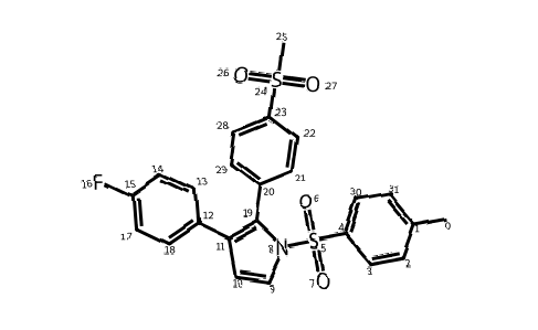 Cc1ccc(S(=O)(=O)n2ccc(-c3ccc(F)cc3)c2-c2ccc(S(C)(=O)=O)cc2)cc1